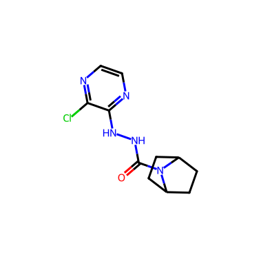 O=C(NNc1nccnc1Cl)N1C2CCC1CC2